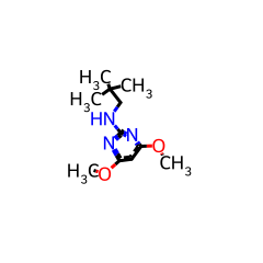 COc1cc(OC)nc(NCC(C)(C)C)n1